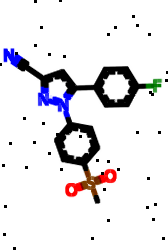 CS(=O)(=O)c1ccc(-n2nc(C#N)cc2-c2ccc(F)cc2)cc1